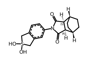 O=C1[C@@H]2[C@H]3CC[C@H](CC3)[C@@H]2C(=O)N1c1ccc2c(c1)CS(O)(O)C2